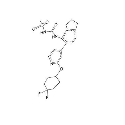 CS(=O)(=O)NC(=O)Nc1c(-c2ccnc(OC3CCC(F)(F)CC3)c2)ccc2c1CCC2